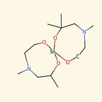 CC1CN(C)CC[O][Sn]2([O]CCN(C)CC(C)(C)[O]2)[O]1